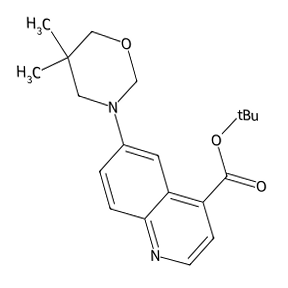 CC1(C)COCN(c2ccc3nccc(C(=O)OC(C)(C)C)c3c2)C1